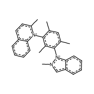 Cc1cc(C)c(-[n+]2c3ccccc3cn2C)c(C)c1-[n+]1c(C)ccc2ccccc21